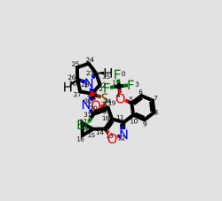 FC(F)(F)Oc1ccccc1-c1noc(C2CC2)c1COC1C[C@H]2CC[C@@H](C1)N2c1nc(Br)cs1